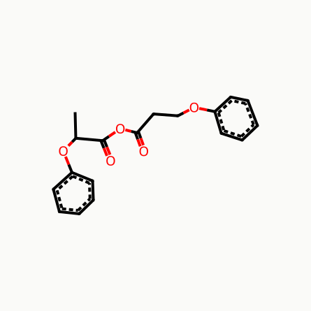 CC(Oc1ccccc1)C(=O)OC(=O)CCOc1ccccc1